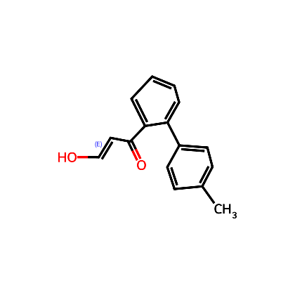 Cc1ccc(-c2ccccc2C(=O)/C=C/O)cc1